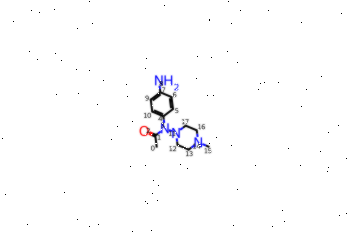 CC(=O)N(c1ccc(N)cc1)N1CCN(C)CC1